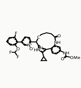 COC(=O)Nc1ccc2c(c1)NC(=O)CCCCC(c1ccc(-c3c(F)cccc3OC(F)F)c[n+]1[O-])c1nc-2c(C2CC2)[nH]1